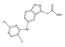 COC(=O)Cn1ncc2ccc(Nc3nc(Cl)ncc3F)cc21